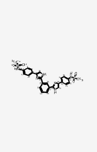 CS(=O)(=O)Nc1ccc(-c2c[nH]c(-c3cccc(-c4nc(-c5ccc(NS(C)(=O)=O)cc5)c[nH]4)c3)n2)cc1